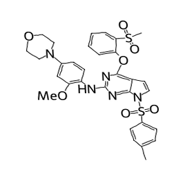 COc1cc(N2CCOCC2)ccc1Nc1nc(Oc2ccccc2S(C)(=O)=O)c2ccn(S(=O)(=O)c3ccc(C)cc3)c2n1